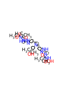 COC(=O)N[C@H](C(=O)N1CCC[C@H]1c1nc2cc([C@H]3CC[C@H](c4ccc5nc([C@@H]6CCCN6C(=O)[C@@H](NC(=O)O)C(C)C)[nH]c5c4)N3c3ccc(C(C)(C)CO)cc3)ccc2[nH]1)C(C)C